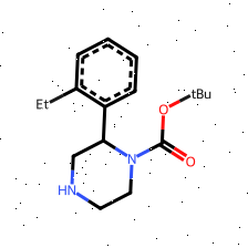 CCc1ccccc1C1CNCCN1C(=O)OC(C)(C)C